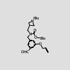 C=CCOc1cc(C=O)cc(CN(CC2CN(C(C)(C)C)C2)C(=O)OC(C)(C)C)c1